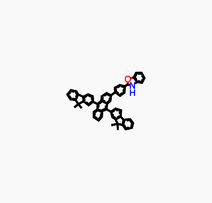 CC1(C)c2ccccc2-c2ccc(-c3c4ccccc4c(-c4ccc5c(c4)C(C)(C)c4ccccc4-5)c4cc(-c5ccc(C6Nc7ccccc7O6)cc5)ccc34)cc21